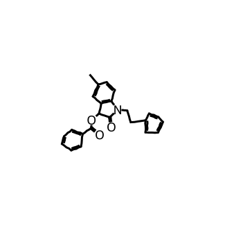 Cc1ccc2c(c1)C(OC(=O)c1ccccc1)C(=O)N2CCc1ccccc1